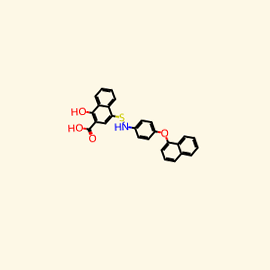 O=C(O)c1cc(SNc2ccc(Oc3cccc4ccccc34)cc2)c2ccccc2c1O